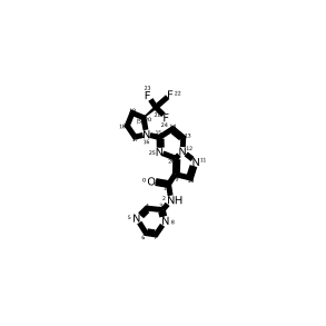 O=C(Nc1cnccn1)c1cnn2ccc(N3CCC[C@H]3C(F)(F)F)nc12